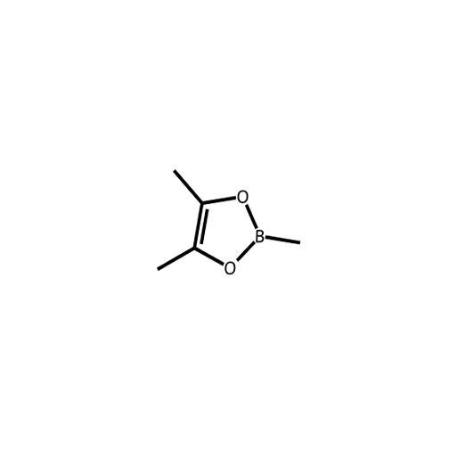 CB1OC(C)=C(C)O1